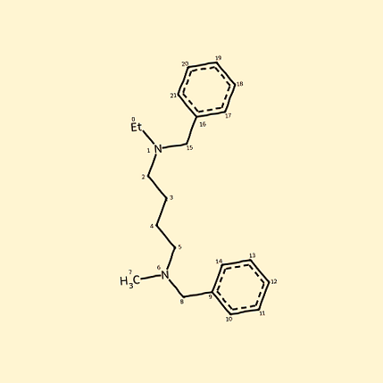 CCN(C[CH]CCN(C)Cc1ccccc1)Cc1ccccc1